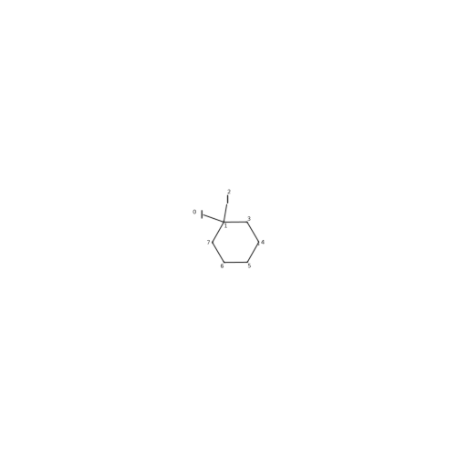 IC1(I)C[CH]CCC1